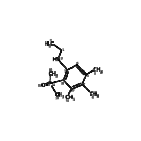 CCNc1cc(C)c(C)c(C)c1P(C)(C)=O